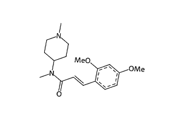 COc1ccc(C=CC(=O)N(C)C2CCN(C)CC2)c(OC)c1